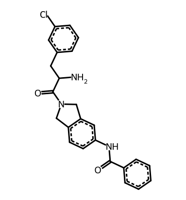 NC(Cc1cccc(Cl)c1)C(=O)N1Cc2ccc(NC(=O)c3ccccc3)cc2C1